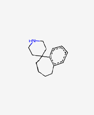 c1ccc2c(c1)CCCCC21CCNCC1